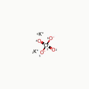 [K+].[K+].[O]=[Cr](=[O])([O-])[O-]